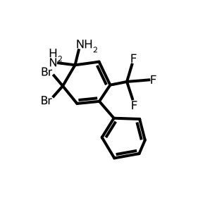 NC1(N)C=C(C(F)(F)F)C(c2ccccc2)=CC1(Br)Br